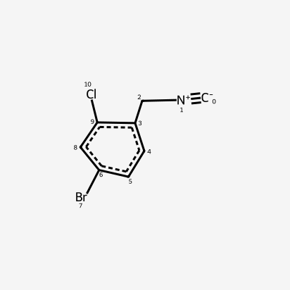 [C-]#[N+]Cc1ccc(Br)cc1Cl